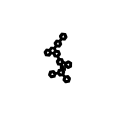 c1ccc(-c2ccc(C3Cc4ccccc4-c4cc(-c5ccc6c(c5)c5ccccc5n6-c5cc(-c6ccccc6)cc(-c6ccccc6)c5)ccc43)cc2)cc1